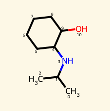 CC(C)NC1CCCCC1O